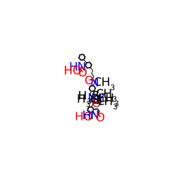 CN(C(=O)CCCc1ccc(-c2ccccc2)c(NC(=O)O)c1)c1ccc(CNCC(O[Si](C)(C)C(C)(C)C)c2ccc(O)c3[nH]c(=O)ccc23)cc1